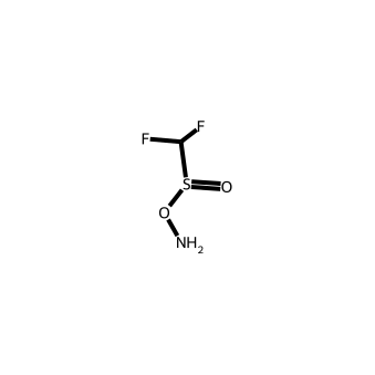 NOS(=O)C(F)F